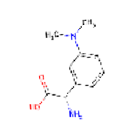 CN(C)c1cccc([C@H](N)C(=O)O)c1